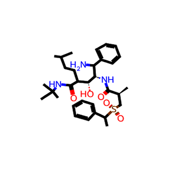 CC(C)CCC(C(=O)NC(C)(C)C)[C@@H](O)[C@@H](NC(=O)[C@@H](C)CS(=O)(=O)C(C)c1ccccc1)C(N)c1ccccc1